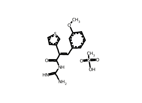 COc1cccc(/C=C(/C(=O)NC(=N)N)c2ccsc2)c1.CS(=O)(=O)O